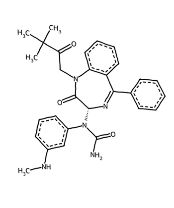 CNc1cccc(N(C(N)=O)[C@H]2N=C(c3ccccc3)c3ccccc3N(CC(=O)C(C)(C)C)C2=O)c1